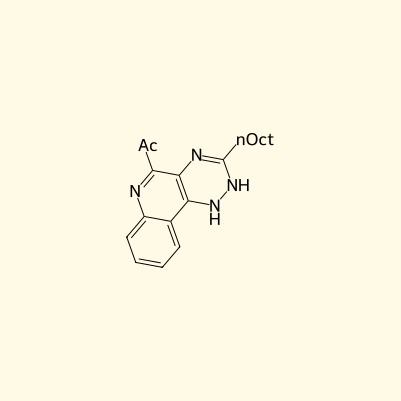 CCCCCCCCC1=Nc2c(C(C)=O)nc3ccccc3c2NN1